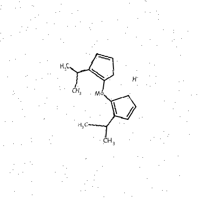 CC(C)C1=[C]([Mo][C]2=C(C(C)C)C=CC2)CC=C1.[H-]